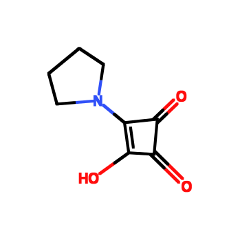 O=c1c(O)c(N2CCCC2)c1=O